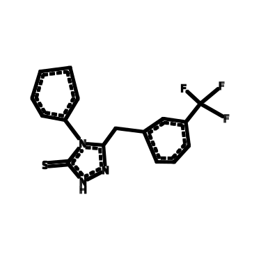 FC(F)(F)c1cccc(Cc2n[nH]c(=S)n2-c2ccccc2)c1